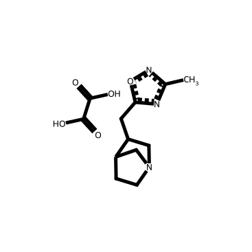 Cc1noc(CC2CN3CCC2C3)n1.O=C(O)C(=O)O